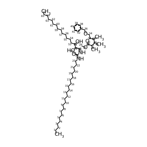 CCCCCCCCCCCCCCCCCCCCCCCCNC(=O)N[C@@H](CO[C@H]1OC(COCc2ccccc2)[C@H](C)[C@H](C)C1C)[C@H](O)[C@H](O)CCCCCCCCCCCCCC